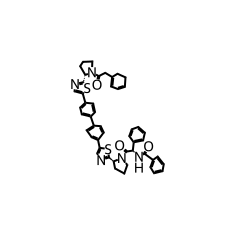 O=C(N[C@H](C(=O)N1CCC[C@H]1c1ncc(-c2ccc(-c3ccc(-c4cnc([C@@H]5CCCN5C(=O)CC5=CC=CCC5)s4)cc3)cc2)s1)c1ccccc1)c1ccccc1